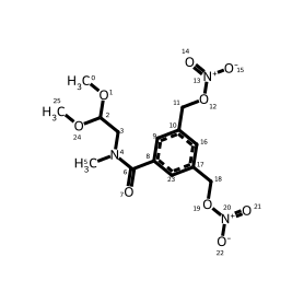 COC(CN(C)C(=O)c1cc(CO[N+](=O)[O-])cc(CO[N+](=O)[O-])c1)OC